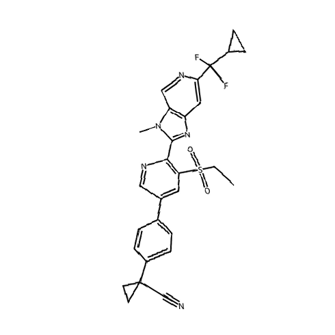 CCS(=O)(=O)c1cc(-c2ccc(C3(C#N)CC3)cc2)cnc1-c1nc2cc(C(F)(F)C3CC3)ncc2n1C